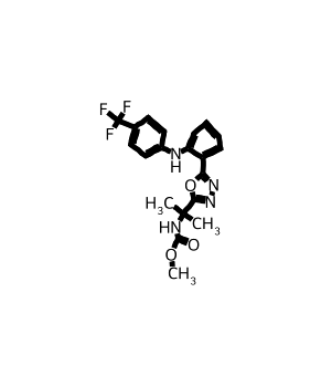 COC(=O)NC(C)(C)c1nnc(-c2ccccc2Nc2ccc(C(F)(F)F)cc2)o1